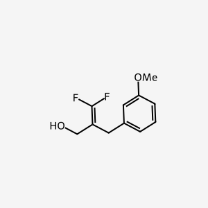 COc1cccc(CC(CO)=C(F)F)c1